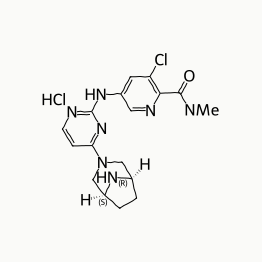 CNC(=O)c1ncc(Nc2nccc(N3C[C@H]4CC[C@@H](C3)N4)n2)cc1Cl.Cl